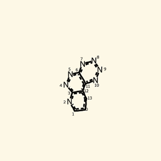 c1cnc2nnc3nnnnc3c2c1